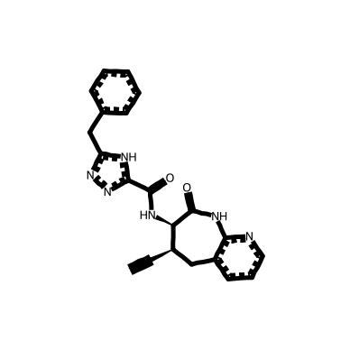 C#C[C@@H]1Cc2cccnc2NC(=O)[C@@H]1NC(=O)c1nnc(Cc2ccccc2)[nH]1